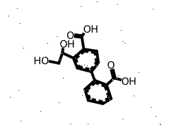 O=C(O)c1ccccc1-c1ccc(C(=O)O)c(C(O)CO)c1